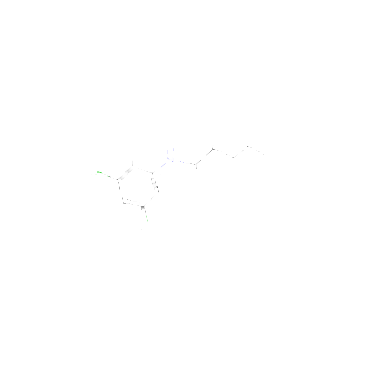 CC(C)(C)CCCCNc1cc(Cl)[c]c(Cl)c1